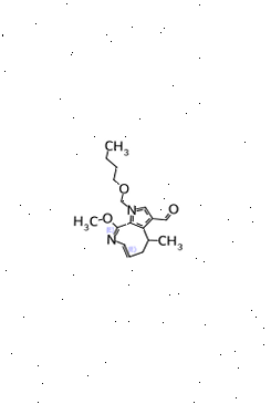 CCCCOCn1cc(C=O)c2c1/C(OC)=N\C=C\CC2C